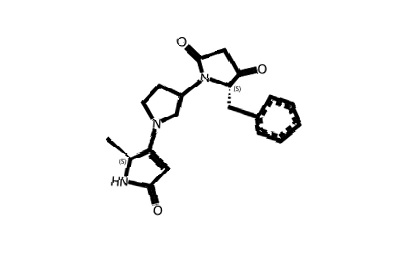 C[C@@H]1NC(=O)C=C1N1CCC(N2C(=O)CC(=O)[C@@H]2Cc2ccccc2)C1